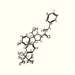 O=C(NCc1ccccc1)N1CC(c2ccc(C(O)(C(F)(F)F)C(F)(F)F)cc2)C(CO)(c2ccc(F)cc2)C1